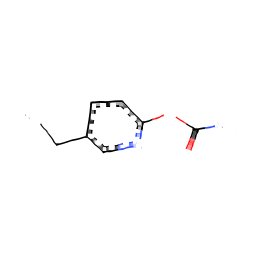 N#C[CH]c1ccc(OC(N)=O)nc1